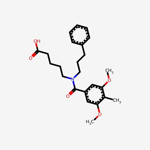 COc1cc(C(=O)N(CCCCC(=O)O)CCCc2ccccc2)cc(OC)c1C